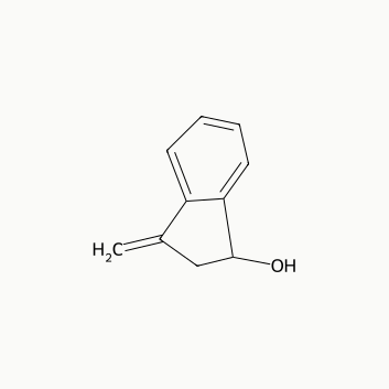 C=C1CC(O)c2ccccc21